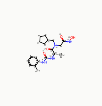 CCc1ccccc1NC(=O)N[C@H](C(=O)N(CC(=O)NO)CC1CCCC1)C(C)(C)C